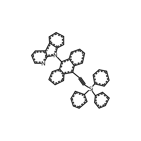 C(#C[Si](c1ccccc1)(c1ccccc1)c1ccccc1)c1c2ccccc2c(-n2c3ccccc3c3cccnc32)c2ccccc12